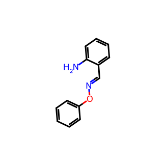 Nc1ccccc1C=NOc1ccccc1